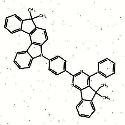 CC1(C)c2ccccc2-c2c1ccc1c2c2ccccc2n1-c1ccc(-c2nc(-c3ccccc3)c3c(n2)-c2ccccc2C3(C)C)cc1